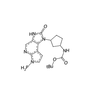 CC(C)(C)OC(=O)NC1CCC(n2c(=O)[nH]c3cnc4c(ccn4P)c32)C1